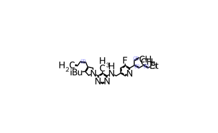 C=C/C=C\C1=C(C(C)CC)CN(c2ncnc(NCc3cnc(C(/C=C\C)=C/C(C)=C/CC)c(F)c3)c2C)C1